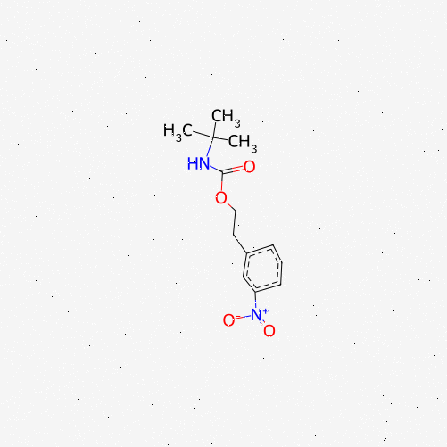 CC(C)(C)NC(=O)OCCc1cccc([N+](=O)[O-])c1